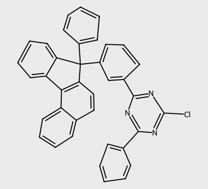 Clc1nc(-c2ccccc2)nc(-c2cccc(C3(c4ccccc4)c4ccccc4-c4c3ccc3ccccc43)c2)n1